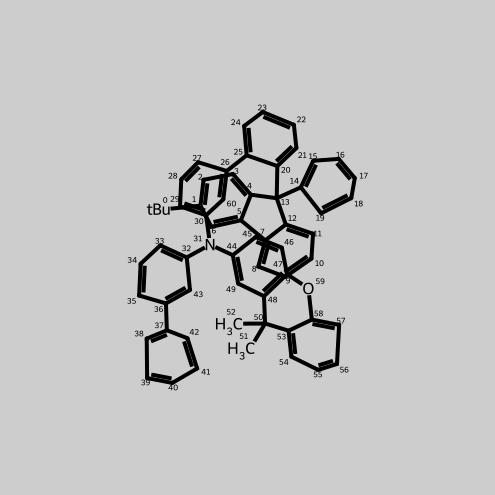 CC(C)(C)c1ccc2c(c1)-c1ccccc1C2(c1ccccc1)c1ccccc1-c1cccc(N(c2cccc(-c3ccccc3)c2)c2ccc3c(c2)C(C)(C)c2ccccc2O3)c1